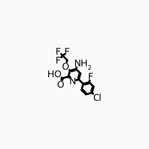 Nc1cc(-c2ccc(Cl)cc2F)nc(C(=O)O)c1OCC(F)(F)F